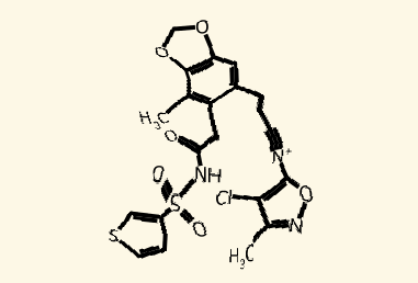 Cc1noc([N+]#CCc2cc3c(c(C)c2CC(=O)NS(=O)(=O)c2ccsc2)OCO3)c1Cl